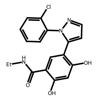 CCNC(=O)c1cc(-c2ccnn2-c2ccccc2Cl)c(O)cc1O